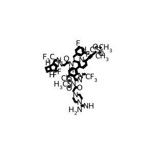 CC(C)(C#Cc1ccc(-c2ccc(Cl)c3c(N(C(=O)CN4CCN(C(=N)N)CC4)S(C)(=O)=O)nn(CC(F)(F)F)c23)c([C@H](Cc2cc(F)cc(F)c2)NC(=O)Cn2nc(C(F)(F)F)c3c2C(F)(F)[C@@H]2CC[C@H]32)n1)S(C)(=O)=O